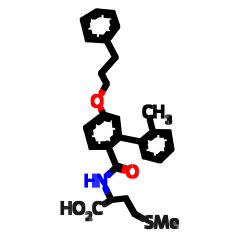 CSCCC(NC(=O)c1ccc(OCCCc2ccccc2)cc1-c1ccccc1C)C(=O)O